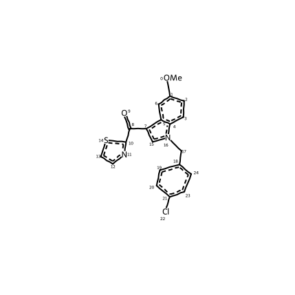 COc1ccc2c(c1)c(C(=O)c1nccs1)cn2Cc1ccc(Cl)cc1